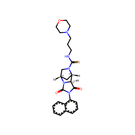 O=C1[C@@H]2[C@@H]3C[C@@H](CN3C(=S)NCCCN3CCOCC3)N2C(=O)N1c1cccc2ccccc12